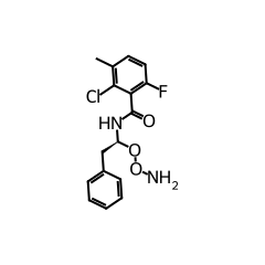 Cc1ccc(F)c(C(=O)N[C@H](Cc2ccccc2)OON)c1Cl